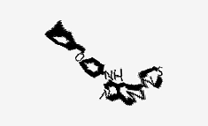 c1ccc(COc2ccc(Nc3cncc4cnc(N5CCSCC5)cc34)cc2)cc1